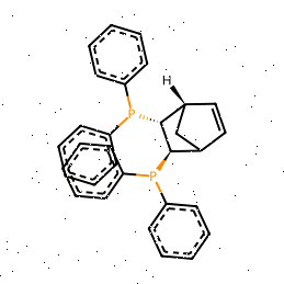 C1=C[C@@H]2CC1[C@@H](P(c1ccccc1)c1ccccc1)[C@@H]2P(c1ccccc1)c1ccccc1